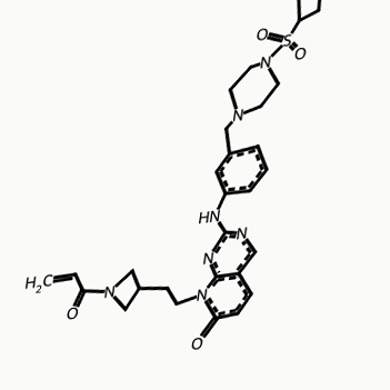 C=CC(=O)N1CC(CCn2c(=O)ccc3cnc(Nc4cccc(CN5CCN(S(=O)(=O)C6COC6)CC5)c4)nc32)C1